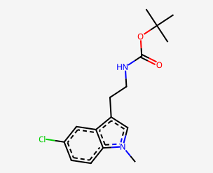 Cn1cc(CCNC(=O)OC(C)(C)C)c2cc(Cl)ccc21